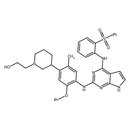 Cc1cc(Nc2nc(Nc3ccccc3S(=O)(=O)C(C)C)c3cc[nH]c3n2)c(OC(C)C)cc1C1CCCN(CCO)C1